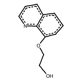 OCCOc1cccc2cccnc12